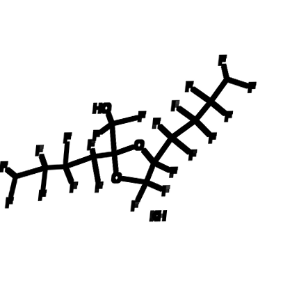 OC(F)(F)C1(C(F)(F)C(F)(F)C(F)(F)C(F)F)OC(F)(F)C(F)(C(F)(F)C(F)(F)C(F)(F)C(F)F)O1.[KH]